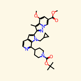 COC(=O)c1cc(OC)c2c(C)c(-c3cc4ccnc(C5CCN(C(=O)OC(C)(C)C)CC5)c4n3CC3CC3)nn2c1